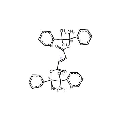 CC(C)(c1ccccn1)[C@@](N)(OC(=O)/C=C/C(=O)O[C@@](N)(c1ccccc1)C(C)(C)c1ccccn1)c1ccccc1